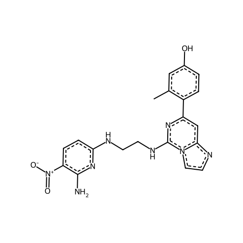 Cc1cc(O)ccc1-c1cc2nccn2c(NCCNc2ccc([N+](=O)[O-])c(N)n2)n1